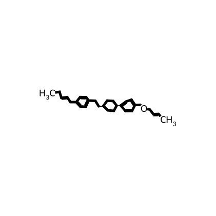 CC=CCOCc1ccc([C@H]2CC[C@H](CCc3ccc(CC=CCC)cc3)CC2)cc1